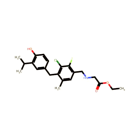 CCOC(=O)CNCc1cc(C)c(Cc2ccc(O)c(C(C)C)c2)c(Cl)c1F